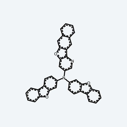 c1ccc2cc3c(cc2c1)oc1cc(N(c2ccc4c(c2)oc2ccccc24)c2ccc4c(c2)oc2ccccc24)cnc13